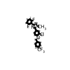 Cn1nc(-c2c(F)cccc2F)nc1-c1ccc(OCc2ccc(C(F)(F)F)cc2)c(Cl)c1